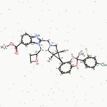 COC(=O)c1ccc2nc(CN3C[C@@H]4C(c5cccc6c5OC(C)(c5ccc(Cl)cc5F)O6)[C@@H]4C3)n(CC3CCO3)c2c1